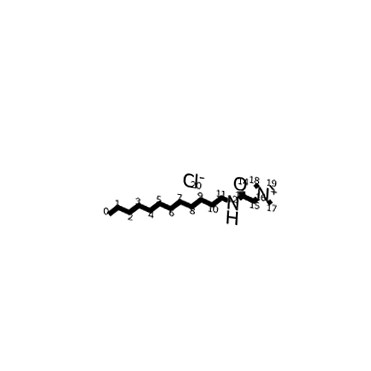 CCCCCCCCCCCCNC(=O)C[N+](C)(C)C.[Cl-]